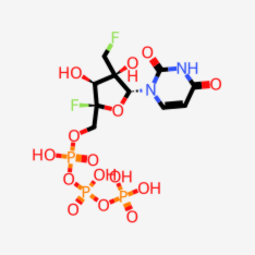 O=c1ccn([C@@H]2O[C@](F)(COP(=O)(O)OP(=O)(O)OP(=O)(O)O)[C@@H](O)[C@]2(O)CF)c(=O)[nH]1